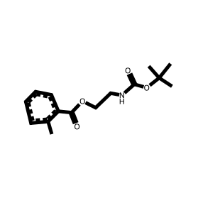 Cc1ccccc1C(=O)OCCNC(=O)OC(C)(C)C